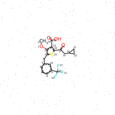 COc1c(Cc2cccc(C(F)(F)F)c2)sc(C(=O)CC2CC2)c1C(=O)O